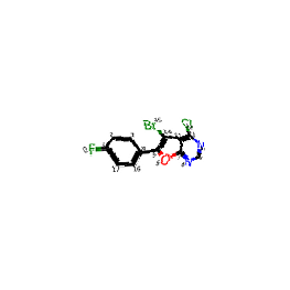 Fc1ccc(-c2oc3ncnc(Cl)c3c2Br)cc1